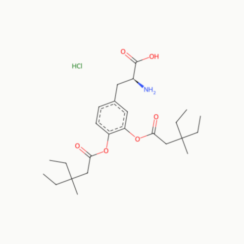 CCC(C)(CC)CC(=O)Oc1ccc(C[C@H](N)C(=O)O)cc1OC(=O)CC(C)(CC)CC.Cl